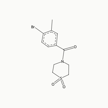 Cc1cc(C(=O)N2CCS(=O)(=O)CC2)ccc1Br